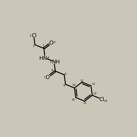 O=C(CCl)NNC(=O)CCc1ccc(Cl)cc1